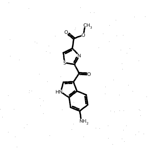 COC(=O)c1csc(C(=O)c2c[nH]c3cc(N)ccc23)n1